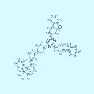 c1cc(-c2ccc(-c3nc(-c4ccc5c(c4)oc4ccccc45)nc(-c4ccc5c(c4)oc4ccccc45)n3)cc2)cc(-c2cccc3c2-c2ccccc2C32CCCCC2)c1